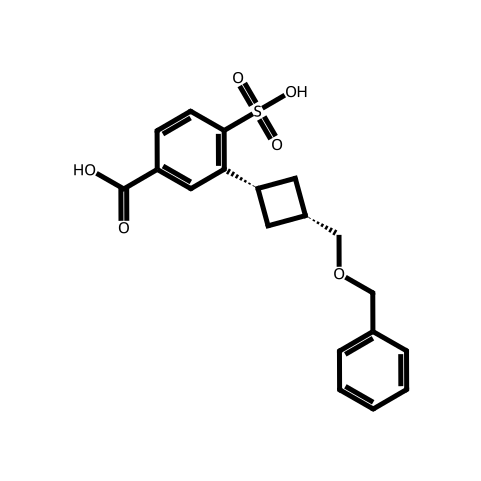 O=C(O)c1ccc(S(=O)(=O)O)c([C@H]2C[C@@H](COCc3ccccc3)C2)c1